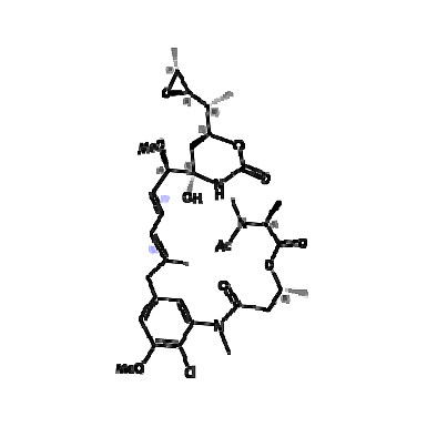 COc1cc(C/C(C)=C/C=C/[C@@H](OC)[C@@]2(O)C[C@@H]([C@@H](C)[C@H]3O[C@@H]3C)OC(=O)N2)cc(N(C)C(=O)C[C@@H](C)OC(=O)[C@H](C)N(C)C(C)=O)c1Cl